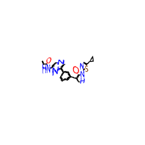 C=CC(=O)Nc1cncc(-c2cccc(C(C)C(=O)Nc3ncc(C4CC4)s3)c2)n1